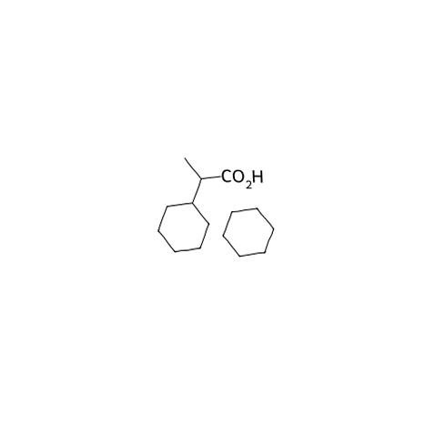 C1CCCCC1.CC(C(=O)O)C1CCCCC1